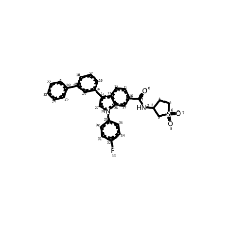 O=C(NC1CCS(=O)(=O)C1)c1ccc2c(-c3cccc(-c4ccccc4)c3)cn(-c3ccc(F)cc3)c2c1